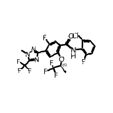 C[C@H](Oc1cc(-c2nc(C(F)(F)F)n(C)n2)c(F)cc1C(=O)Nc1c(F)cccc1Cl)C(F)(F)F